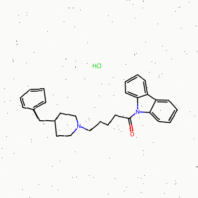 Cl.O=C(CCCCN1CCC(Cc2ccccc2)CC1)n1c2ccccc2c2ccccc21